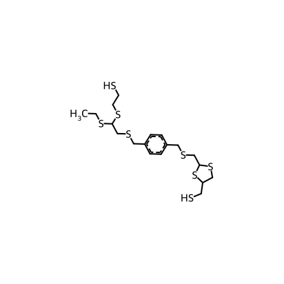 CCSC(CSCc1ccc(CSCC2SCC(CS)S2)cc1)SCCS